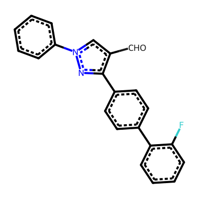 O=Cc1cn(-c2ccccc2)nc1-c1ccc(-c2ccccc2F)cc1